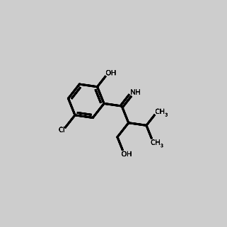 CC(C)C(CO)C(=N)c1cc(Cl)ccc1O